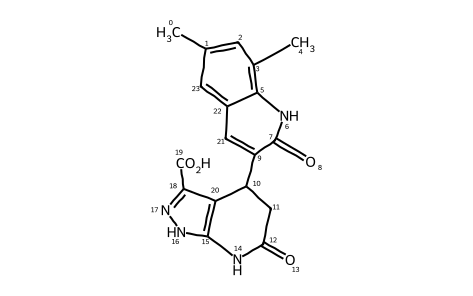 Cc1cc(C)c2[nH]c(=O)c(C3CC(=O)Nc4[nH]nc(C(=O)O)c43)cc2c1